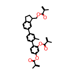 C=C(C)C(=O)OCC1CCc2ccc(-c3ccc(-c4ccc(OC(=O)C(=C)C)cc4OC(=O)C(=C)C)c(C)c3)cc21